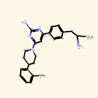 COc1ccccc1C1CCN(c2cc(-c3ccc(CC(N)C(=O)O)cc3)nc(N)n2)CC1